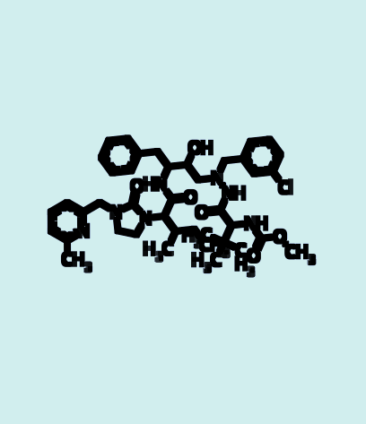 CCC(C)C(C(=O)NC(Cc1ccccc1)C(O)CN(Cc1cccc(Cl)c1)NC(=O)C(NC(=O)OC)C(C)(C)C)N1CCN(Cc2cccc(C)n2)C1=O